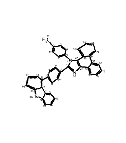 FC(F)(F)c1ccc(-n2c(-c3ccc(-c4cccc5sc6ccccc6c45)cc3)nc3c4ccccc4c4ccccc4c32)cc1